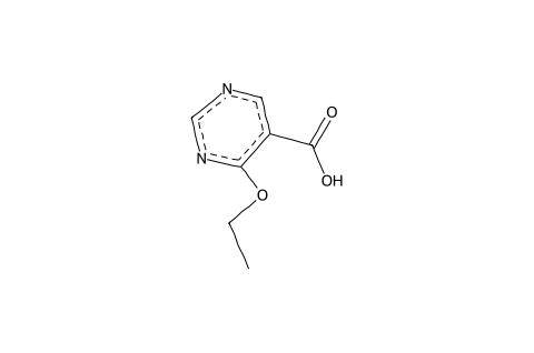 CCOc1ncncc1C(=O)O